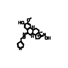 COc1cc2c(cc1O)/C(=N/OCc1ccncc1)C[C@@H]1[C@@H]2CC[C@]2(C)/C(=N/O)CC[C@@H]12